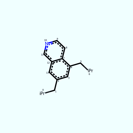 CC(C)Cc1cc(CC(C)C)c2ccncc2c1